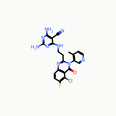 Cc1ccncc1-n1c(CCNc2nc(N)nc(N)c2C#N)nc2ccc(F)c(Cl)c2c1=O